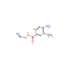 Cc1cc(C(=O)OCC#N)ccc1N